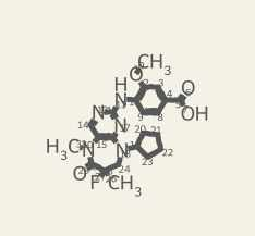 COc1cc(C(=O)O)ccc1Nc1ncc2c(n1)N(C1CCCC1)CC(C)(F)C(=O)N2C